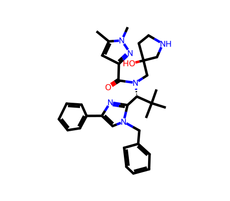 Cc1cc(C(=O)N(CC2(O)CCNC2)[C@@H](c2nc(-c3ccccc3)cn2Cc2ccccc2)C(C)(C)C)nn1C